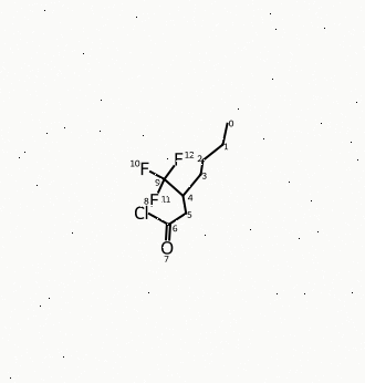 CCCCC(CC(=O)Cl)C(F)(F)F